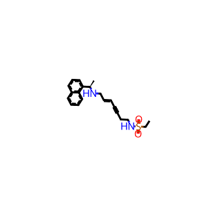 CCS(=O)(=O)NCCC#C/C=C/CN[C@H](C)c1cccc2ccccc12